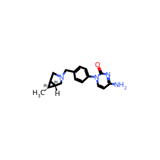 C[C@@H]1C2CN(Cc3ccc(-n4ccc(N)nc4=O)cc3)C[C@@H]21